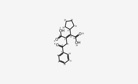 O=C(O)/C(CC(=O)c1ccccc1)=C(/C(=O)O)C1CCCC1